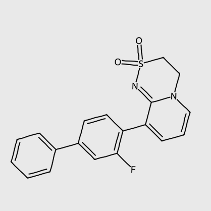 O=S1(=O)CCN2C=CC=C(c3ccc(-c4ccccc4)cc3F)C2=N1